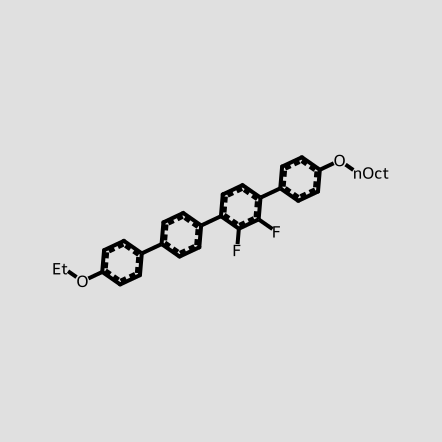 CCCCCCCCOc1ccc(-c2ccc(-c3ccc(-c4ccc(OCC)cc4)cc3)c(F)c2F)cc1